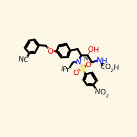 CC(C)CN(C(Cc1ccc(OCc2cccc(C#N)c2)cc1)[C@H](O)CNC(=O)O)S(=O)(=O)c1ccc([N+](=O)[O-])cc1